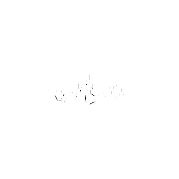 Clc1nc(NCc2ncco2)c2cccc(OCC3COCCO3)c2n1